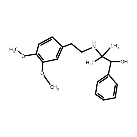 COc1ccc(CCNC(C)(C)C(O)c2ccccc2)cc1OC